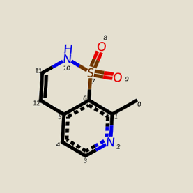 Cc1nccc2c1S(=O)(=O)NC=C2